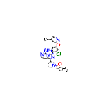 C=CC(=O)N1CCCC(c2nc(-c3ccc(Oc4cc(C5CC5)ccn4)cc3Cl)n3c(N)nccc23)C1